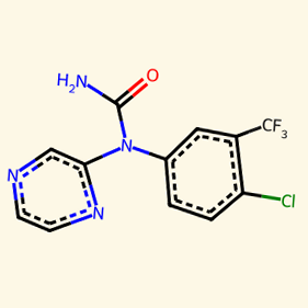 NC(=O)N(c1ccc(Cl)c(C(F)(F)F)c1)c1cnccn1